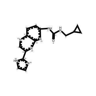 O=C(NCC1CC1)Nc1ccc2ncc(-c3ncc[nH]3)nc2n1